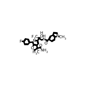 Cn1ccc2cc(C(=O)NCC(O)(c3cc4c(c(-c5ccc(F)cc5)n3)OC[C@]4(C)C(N)=O)C(F)(F)F)ccc21